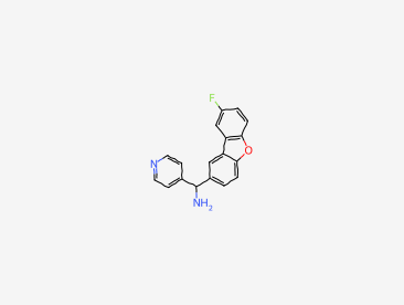 NC(c1ccncc1)c1ccc2oc3ccc(F)cc3c2c1